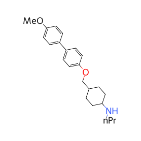 CCCNC1CCC(COc2ccc(-c3ccc(OC)cc3)cc2)CC1